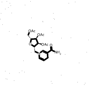 CC(=O)OC[C@H]1O[C@@H](CN2C=CCC(C(N)=O)=C2)[C@H](OC(C)=O)[C@@H]1OC(C)=O